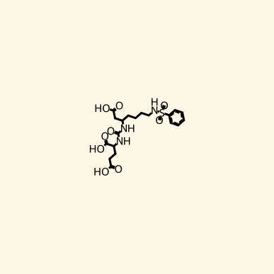 O=C(O)CCC(NC(=O)NC(CCCCNS(=O)(=O)c1ccccc1)CC(=O)O)C(=O)O